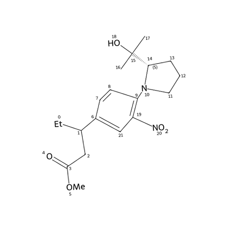 CCC(CC(=O)OC)c1ccc(N2CCC[C@H]2C(C)(C)O)c([N+](=O)[O-])c1